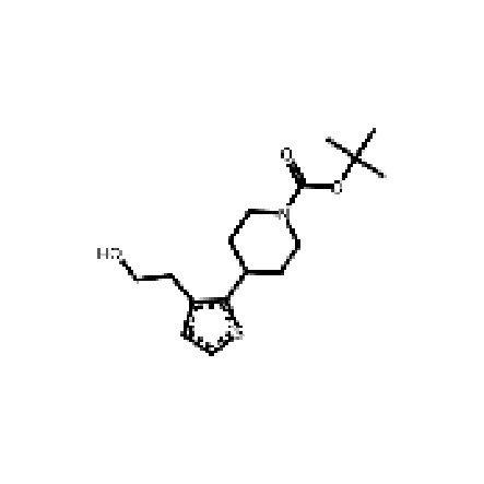 CC(C)(C)OC(=O)N1CCC(c2sccc2CCO)CC1